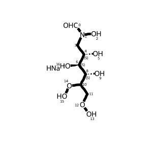 O=CN(O)C[C@H](O)[C@H](O)[C@H](O)C(COO)OO.[NaH]